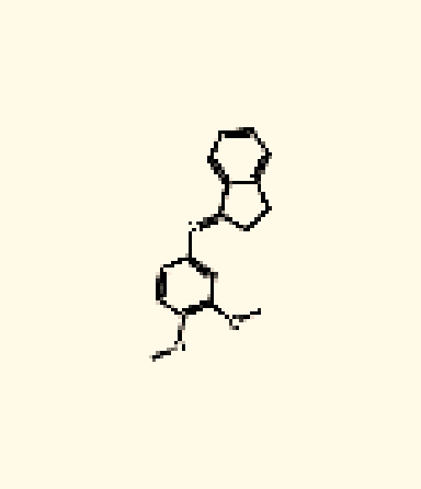 COc1ccc(N=C2CCc3ccccc32)cc1OC